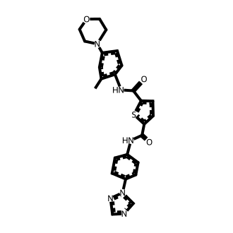 Cc1cc(N2CCOCC2)ccc1NC(=O)c1ccc(C(=O)Nc2ccc(-n3cncn3)cc2)s1